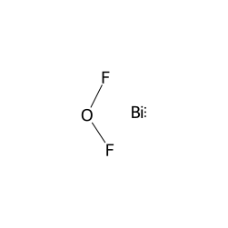 FOF.[Bi]